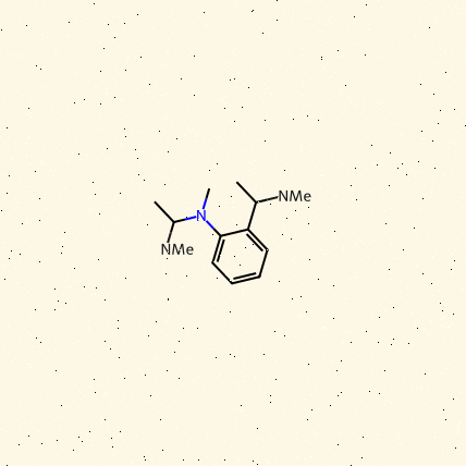 CNC(C)c1ccccc1N(C)C(C)NC